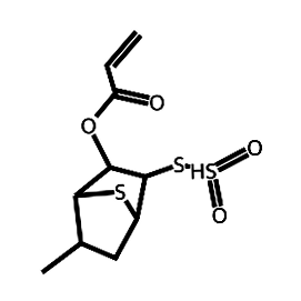 C=CC(=O)OC1C2SC(CC2C)C1S[SH](=O)=O